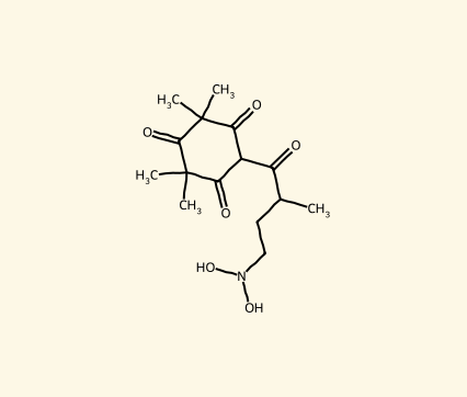 CC(CCN(O)O)C(=O)C1C(=O)C(C)(C)C(=O)C(C)(C)C1=O